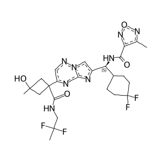 Cc1nonc1C(=O)N[C@H](c1cn2ncc(C3(C(=O)NCC(C)(F)F)CC(C)(O)C3)nc2n1)C1CCC(F)(F)CC1